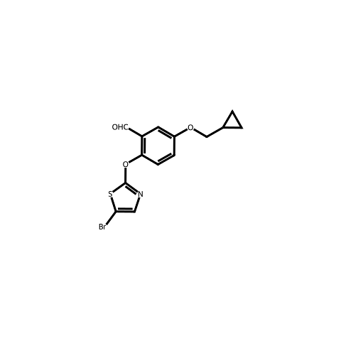 O=Cc1cc(OCC2CC2)ccc1Oc1ncc(Br)s1